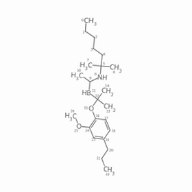 CCCCCC(C)(C)NC(C)BC(C)(C)Oc1ccc(CCC)cc1OC